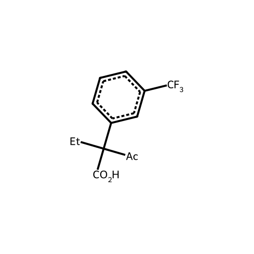 CCC(C(C)=O)(C(=O)O)c1cccc(C(F)(F)F)c1